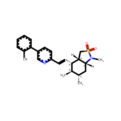 C[C@H]1[C@H](/C=C/c2ccc(-c3ccccc3C#N)cn2)[C@@H]2CS(=O)(=O)N(C)[C@@H]2C[C@@H]1C